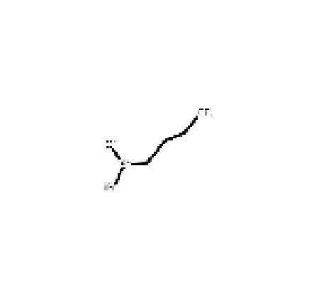 CC(C)[S+]([O-])CCCC(F)(F)F